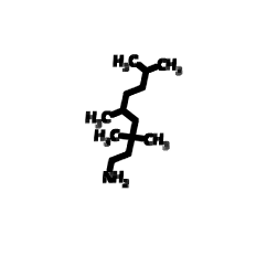 CC(C)CCC(C)CC(C)(C)CCN